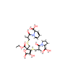 CCOC(=O)C1(CSCC(C)C(=O)N2C=CC=CC2C(=O)O)OC(=O)C(O)=C1SCC(C)C(=O)N1CCCC1C(=O)O